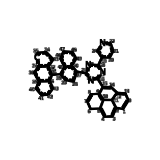 C1=CC2=CC=C3CC=CC4=C3C2C(=C1)C=C4c1nc(-c2cccnc2)nc(-c2ccc(-c3c4ccccc4cc4ccccc34)c3ccccc23)n1